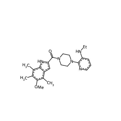 CCNc1cccnc1N1CCN(C(=O)c2cc3c(C)c(OC)c(C)c(C)c3[nH]2)CC1